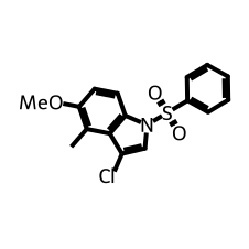 COc1ccc2c(c(Cl)cn2S(=O)(=O)c2ccccc2)c1C